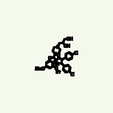 COc1ccc(C2(C(=O)N3CCN(CC(O)CO)CC3)NC(c3ccc(Cl)cc3)C(c3ccc(Cl)cc3)N2)c(OC(C)C)c1